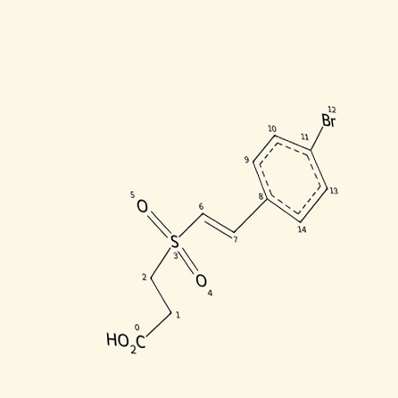 O=C(O)CCS(=O)(=O)C=Cc1ccc(Br)cc1